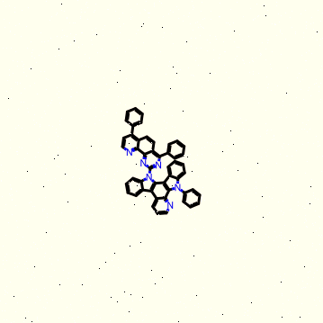 c1ccc(-c2ccnc3c2ccc2c(-c4ccccc4)nc(-n4c5ccccc5c5c6cccnc6c6c(c7ccccc7n6-c6ccccc6)c54)nc23)cc1